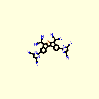 N#CC(C#N)=C1c2cc(-c3nc(C#N)cc(C#N)n3)ccc2-c2c1sc1c2-c2ccc(-c3nc(C#N)cc(C#N)n3)cc2C1=C(C#N)C#N